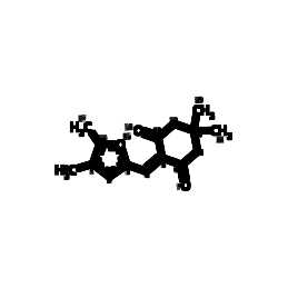 Cc1cc(C=C2C(=O)CC(C)(C)CC2=O)oc1C